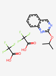 CC(C)Oc1ncc2ccccc2n1.O=C(O)C(F)(F)F.O=C(O)C(F)(F)F